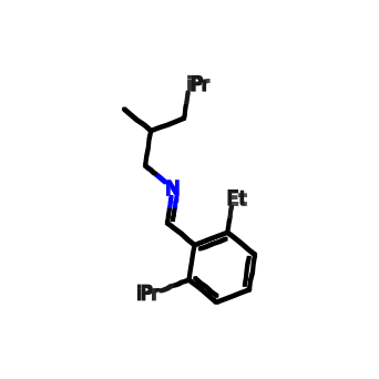 CCc1cccc(C(C)C)c1C=NCC(C)CC(C)C